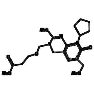 COCc1cc2c(n(C3CCCC3)c1=O)N=C(SC)N(COCCC(=O)OC)C2